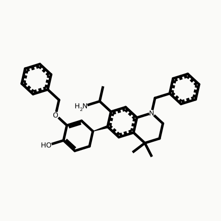 CC(N)c1cc2c(cc1[C@@H]1C=C(OCc3ccccc3)C(O)=CC1)C(C)(C)CCN2Cc1ccccc1